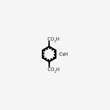 O=C(O)c1ccc(C(=O)O)cc1.[CsH]